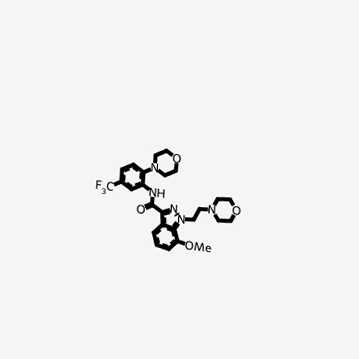 COc1cccc2c(C(=O)Nc3cc(C(F)(F)F)ccc3N3CCOCC3)nn(CCN3CCOCC3)c12